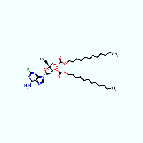 C#C[C@]1(COC(=O)OCCCCCCCCCCCC)O[C@@H](n2cnc3c(N)nc(F)nc32)C[C@@H]1OC(=O)OCCCCCCCCCCCC